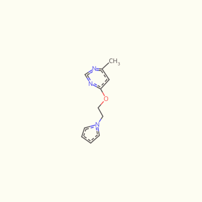 Cc1cc(OCCn2cccc2)ncn1